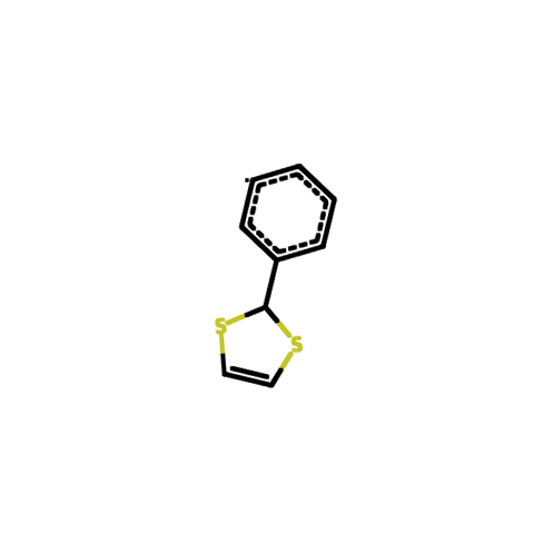 [c]1cccc(C2SC=CS2)c1